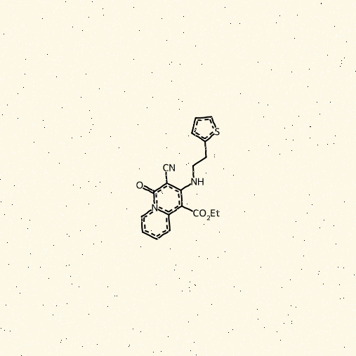 CCOC(=O)c1c(NCCc2cccs2)c(C#N)c(=O)n2ccccc12